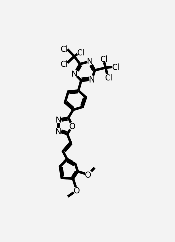 COc1ccc(C=Cc2nnc(-c3ccc(-c4nc(C(Cl)(Cl)Cl)nc(C(Cl)(Cl)Cl)n4)cc3)o2)cc1OC